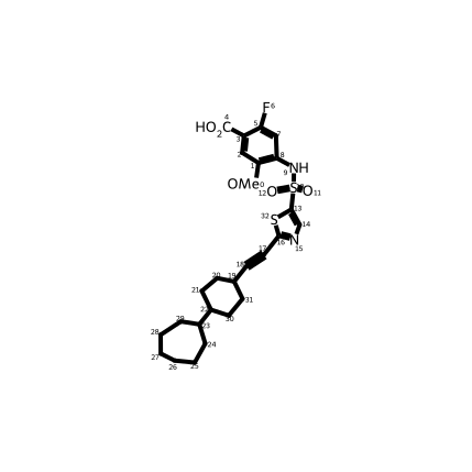 COc1cc(C(=O)O)c(F)cc1NS(=O)(=O)c1cnc(C#CC2CCC(C3CCCCCC3)CC2)s1